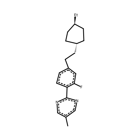 CC[C@H]1CC[C@H](CCc2ccc(-c3ncc(C)cn3)c(F)c2)CC1